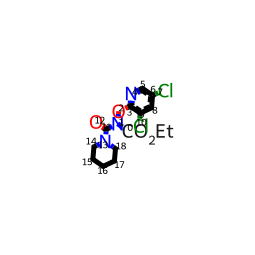 CCOC(=O)N(Oc1ncc(Cl)cc1Cl)C(=O)N1CCCCC1